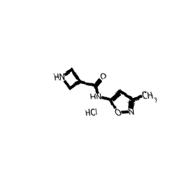 Cc1cc(NC(=O)C2CNC2)on1.Cl